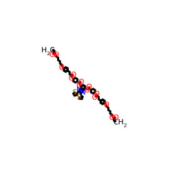 C=CC(=O)OCCCCCCOc1ccc(CCC(=O)O[C@H]2CC[C@H](C(=O)Oc3ccc(OC(=O)[C@H]4CC[C@H](OC(=O)CCc5ccc(OCCCCCCOC(=O)C=C)cc5)CC4)c4nc(-c5cccs5)c(-c5cccs5)nc34)CC2)cc1